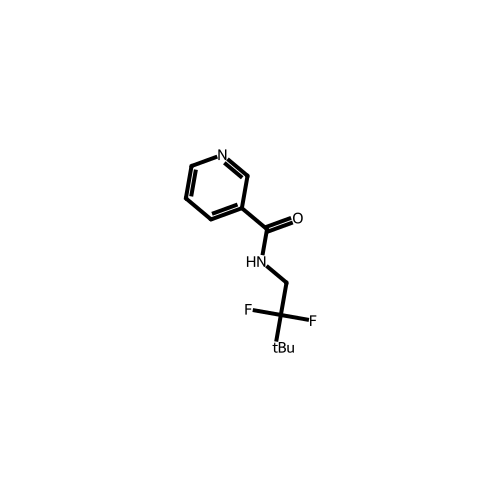 CC(C)(C)C(F)(F)CNC(=O)c1cccnc1